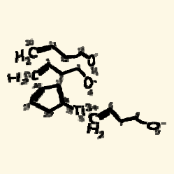 C=CCC[O-].C=CCC[O-].C=CCC[O-].[Ti+3][C]1=CC=CC1